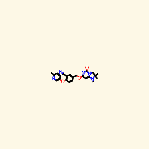 Cc1ccc(Oc2ccc(COc3cc4n(c(=O)n3)CC(C)(C)N4C)cc2C#N)cn1